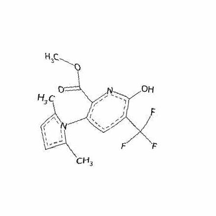 COC(=O)c1nc(O)c(C(F)(F)F)cc1-n1c(C)ccc1C